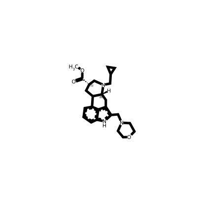 COC(=O)[C@H]1CC2c3cccc4[nH]c(CN5CCOCC5)c(c34)C[C@H]2N(CC2CC2)C1